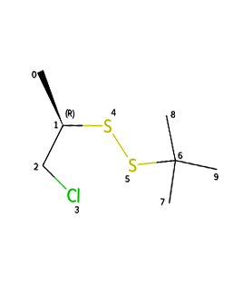 C[C@H](CCl)SSC(C)(C)C